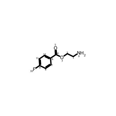 NCCOC(=O)c1ccc(F)cc1